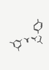 Cc1cn(-c2ccc(C(F)(F)F)cc2)c(=NC(=O)Nc2cc(Cl)cc(Cl)c2)s1